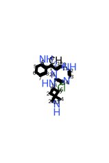 C=C(C1=C(N)CCC=C1)c1c[nH]ccnc(Cl)c(NC2CC3(CNC3)C2)n1